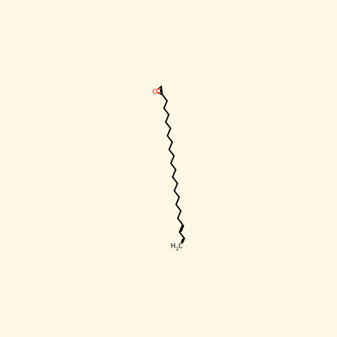 C=CC=CCCCCCCCCCCCCCCCCCCC1=CO1